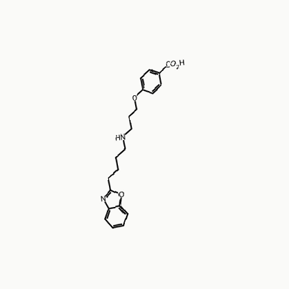 O=C(O)c1ccc(OCCCNCCCCc2nc3ccccc3o2)cc1